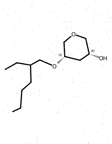 CCCCC(CC)CO[C@@H]1COC[C@H](O)C1